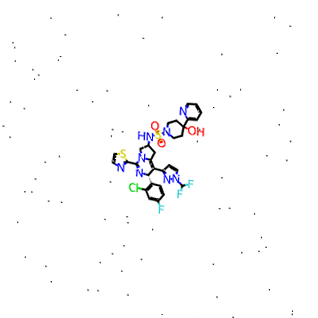 O=S(=O)(NC1CC2=C(c3ccn(C(F)F)n3)[C@H](c3ccc(F)cc3Cl)N=C(c3nccs3)N2C1)N1CCC(O)(c2ccccn2)CC1